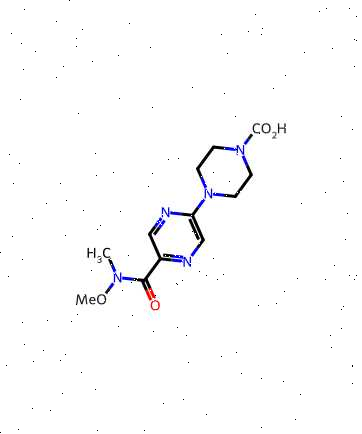 CON(C)C(=O)c1cnc(N2CCN(C(=O)O)CC2)cn1